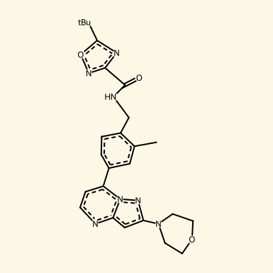 Cc1cc(-c2ccnc3cc(N4CCOCC4)nn23)ccc1CNC(=O)c1noc(C(C)(C)C)n1